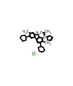 C[C](C)=[Zr+2]([C]1=CC=CC1)[c]1c(C)c(C2CCCCC2)cc2c1Cc1cc(C)c(C3CCCCC3)cc1-2.[Cl-].[Cl-]